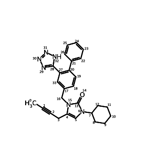 CC#CCc1cn(C2CCCCC2)c(=O)n1Cc1ccc(-c2ccccc2)c(-c2nnn[nH]2)c1